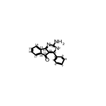 Nc1nc(-c2ccccc2)c2c(n1)-c1ccccc1C2=O